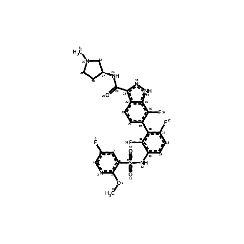 COc1ncc(F)cc1S(=O)(=O)Nc1ccc(F)c(-c2ccc3c(C(=O)N[C@H]4CCN(C)C4)n[nH]c3c2F)c1F